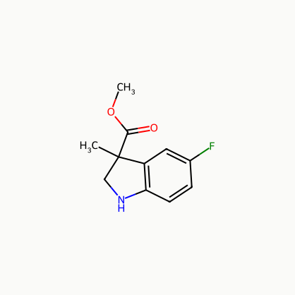 COC(=O)C1(C)CNc2ccc(F)cc21